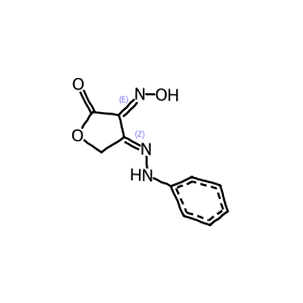 O=C1OCC(=N\Nc2ccccc2)/C1=N\O